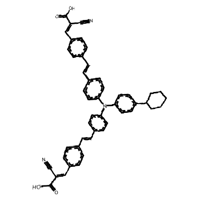 N#C/C(=C\c1ccc(/C=C/c2ccc(N(c3ccc(/C=C/c4ccc(/C=C(\C#N)C(=O)O)cc4)cc3)c3ccc(C4CCCCC4)cc3)cc2)cc1)C(=O)O